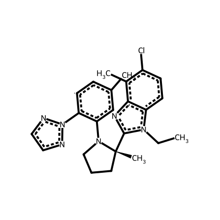 CCn1c([C@]2(C)CCCN2c2cc(C)c[c]c2-n2nccn2)nc2c(C)c(Cl)ccc21